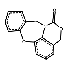 O=C1OCc2cccc3c2N1Cc1ccccc1O3